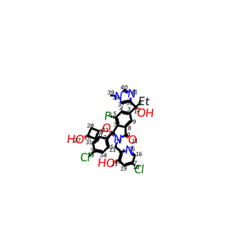 CCC(O)(c1cc(F)c2c(c1)C(=O)N(Cc1ncc(Cl)cc1O)[C@@]2(O[C@H]1C[C@@H](O)C1)c1ccc(Cl)cc1)c1cn(C)cn1